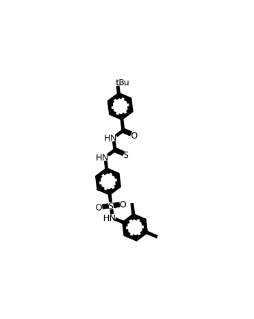 Cc1ccc(NS(=O)(=O)c2ccc(NC(=S)NC(=O)c3ccc(C(C)(C)C)cc3)cc2)c(C)c1